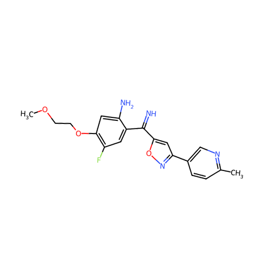 COCCOc1cc(N)c(C(=N)c2cc(-c3ccc(C)nc3)no2)cc1F